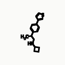 CC(CNC1CCC1)c1ccc(-c2ccsc2)cc1